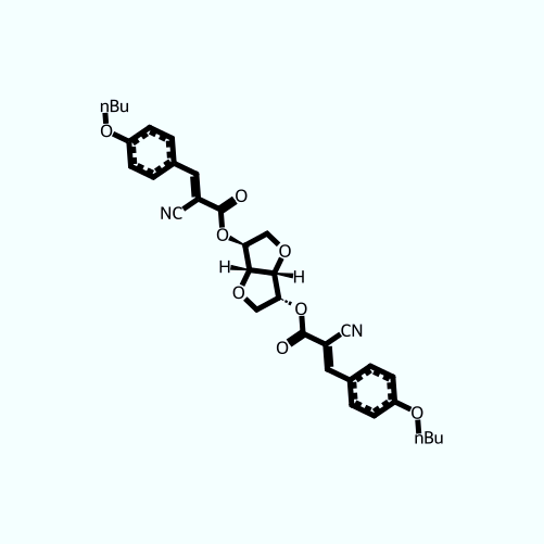 CCCCOc1ccc(/C=C(\C#N)C(=O)O[C@H]2CO[C@H]3[C@@H]2OC[C@H]3OC(=O)/C(C#N)=C/c2ccc(OCCCC)cc2)cc1